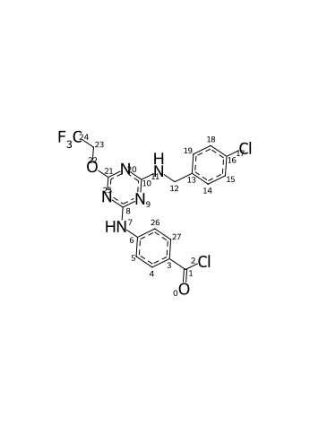 O=C(Cl)c1ccc(Nc2nc(NCc3ccc(Cl)cc3)nc(OCC(F)(F)F)n2)cc1